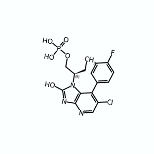 CC[C@H](COP(=O)(O)O)n1c(O)nc2ncc(Cl)c(-c3ccc(F)cc3)c21